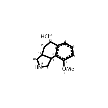 COc1cccc2c1C1CNCC1CC2.Cl